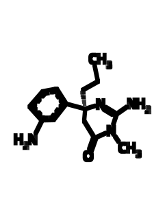 CCC[C@@]1(c2cccc(N)c2)CC(=O)N(C)C(N)=N1